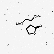 COCCOC.O=C1CCCO1